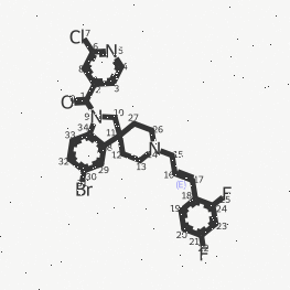 O=C(c1ccnc(Cl)c1)N1CC2(CCN(C/C=C/c3ccc(F)cc3F)CC2)c2cc(Br)ccc21